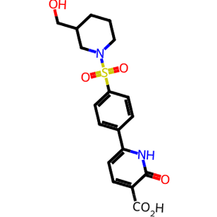 O=C(O)c1ccc(-c2ccc(S(=O)(=O)N3CCCC(CO)C3)cc2)[nH]c1=O